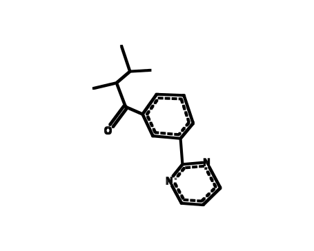 CC(C)C(C)C(=O)c1cccc(-c2ncccn2)c1